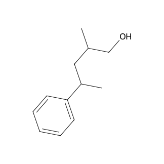 CC(CO)CC(C)c1ccccc1